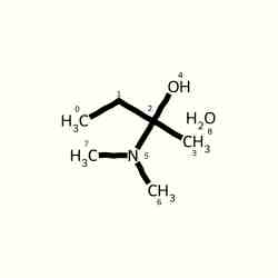 CCC(C)(O)N(C)C.O